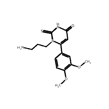 COc1ccc(-c2cc(=O)[nH]c(=S)n2CCCN)cc1OC